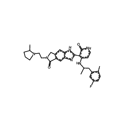 Cc1ccc(F)cc1CC(C)Nc1cc[nH]c(=O)c1-c1nc2cc3c(cc2[nH]1)CN(CCN1CCCC1C)C3=O